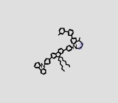 CCCCCCC1(CCCCCC)c2cc(-c3ccc(N4C/C=C\C=C/C(C)c5cc(-c6cccc(-c7cccc(C)c7)c6)ccc54)cc3)ccc2-c2ccc(-c3ccc(-n4c5ccccc5c5ccccc54)cc3)cc21